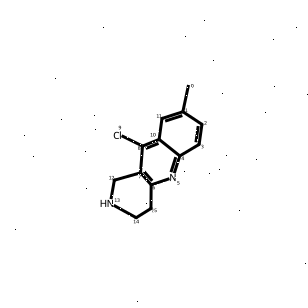 Cc1ccc2nc3c(c(Cl)c2c1)CNCC3